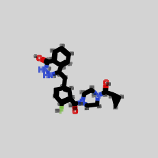 O=C1NNC(Cc2ccc(F)c(C(=O)N3CCN(C(=O)C4CC4)CC3)c2)c2ccccc21